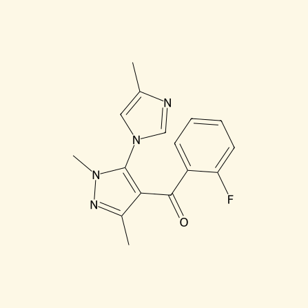 Cc1cn(-c2c(C(=O)c3ccccc3F)c(C)nn2C)cn1